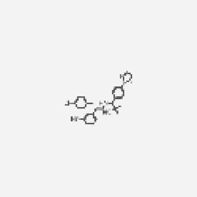 C[C@H](NC(c1ccc(-n2nccn2)cc1)C(C)(C)C#N)[C@@H](Cc1ccc(Cl)cc1)c1cccc(C#N)c1